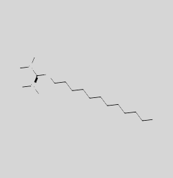 CCCCCCCCCCCCOC(N(C)C)=[N+](C)C